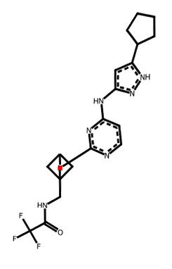 O=C(NCC12CC(C1)N(c1nccc(Nc3cc(C4CCCC4)[nH]n3)n1)C2)C(F)(F)F